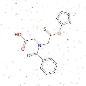 O=C(O)CN(CC(=S)Oc1cccs1)C(=O)c1ccccc1